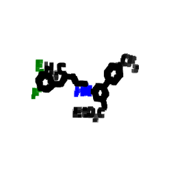 CCOC(=O)Cc1cc(NCCCC(C)Cc2cc(F)cc(F)c2)cc(-c2ccc(C(F)(F)F)cc2)c1